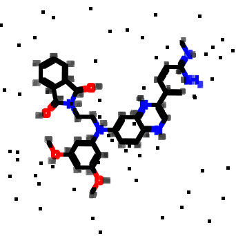 C=C(/C=C\C(N)=N/C)c1cnc2ccc(N(CCN3C(=O)c4ccccc4C3=O)c3cc(OC)cc(OC)c3)cc2n1